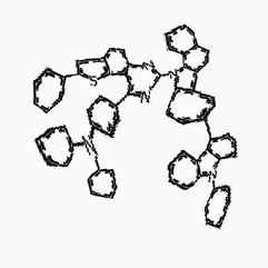 c1ccc(-c2cc3ccc4nc(-n5c6ccc(-c7cccc8c7c7ccccc7n8-c7ccccc7)cc6c6ccc7ccccc7c65)nc(-c5ccc(N(c6ccccc6)c6ccccc6)cc5)c4c3s2)cc1